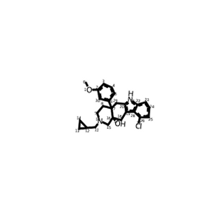 COc1cccc(C23CCN(CC4CC4)CC2(O)Cc2c([nH]c4cccc(Cl)c24)C3)c1